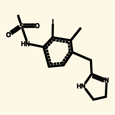 Cc1c(CC2=NCCN2)ccc(NS(C)(=O)=O)c1I